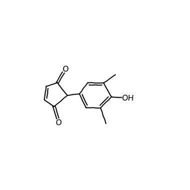 Cc1cc(C2C(=O)C=CC2=O)cc(C)c1O